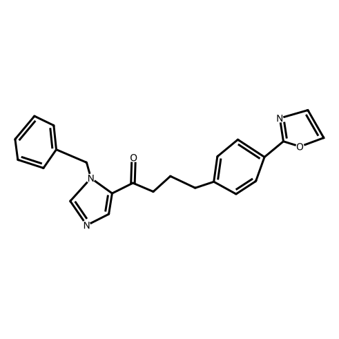 O=C(CCCc1ccc(-c2ncco2)cc1)c1cncn1Cc1ccccc1